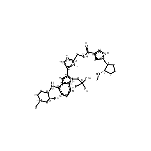 CO[C@H]1CCC[C@@H]1n1cc(C(=O)NCc2nc(-c3cc4c(N[C@@H]5CCN(C)C[C@@H]5F)cccc4n3CC(F)(F)F)no2)cn1